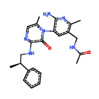 CC(=O)NCc1cc(-n2c(C)cnc(NC[C@H](C)c3ccccc3)c2=O)c(N)nc1C